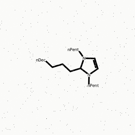 CCCCCCCCCCCCCC1N(CCCCC)C=CN1CCCCC